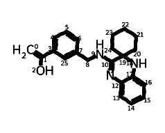 C=C(O)c1cccc(CNC2=Nc3ccccc3NC23CCCCC3)c1